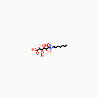 CCCCCC=CNC(=O)C(O)C(O)C(O)C(O)C(=O)O